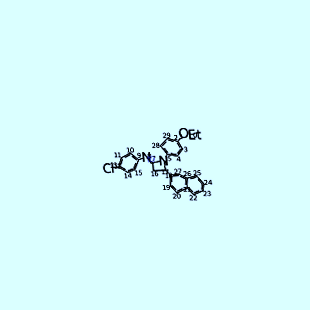 CCOc1ccc(N2/C(=N/c3ccc(Cl)cc3)CC2c2ccc3ccccc3c2)cc1